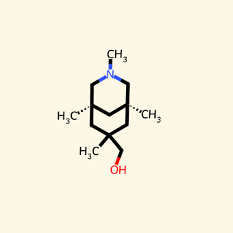 CN1C[C@@]2(C)CC(C)(CO)C[C@@](C)(C1)C2